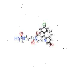 O=C(CCCN1CCNC1=O)N1CCC(C2c3ncc(Br)cc3CCc3cc(Cl)cc(Br)c32)CC1